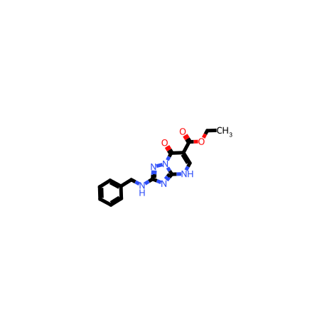 CCOC(=O)c1c[nH]c2nc(NCc3ccccc3)nn2c1=O